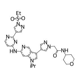 CCS(=O)(=O)n1cc(-c2nccc(Nc3cc4c(cn3)c(-c3cnn(CC(=O)NC5CCOCC5)c3)cn4C(C)C)n2)cn1